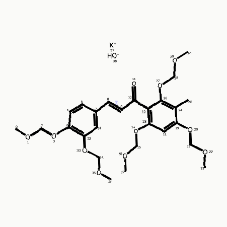 COCOc1ccc(/C=C/C(=O)c2c(OCOC)cc(OCOC)c(C)c2OCOC)cc1OCOC.[K+].[OH-]